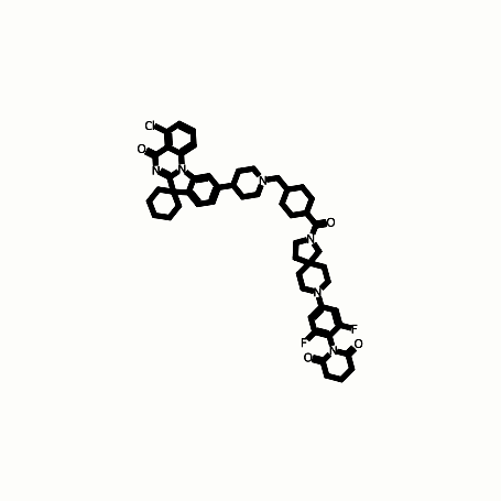 O=C(C1CCC(CN2CCC(c3ccc4c(c3)-n3c(nc(=O)c5c(Cl)cccc53)C43CCCCC3)CC2)CC1)N1CCC2(CCN(c3cc(F)c(N4C(=O)CCCC4=O)c(F)c3)CC2)C1